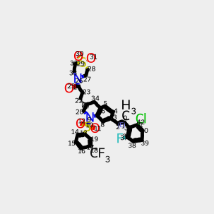 C/C(=C\c1ccc2c(c1)N(S(=O)(=O)c1cccc(C(F)(F)F)c1)C[C@H](CCC(=O)N1CCS(=O)(=O)CC1)C2)c1c(F)cccc1Cl